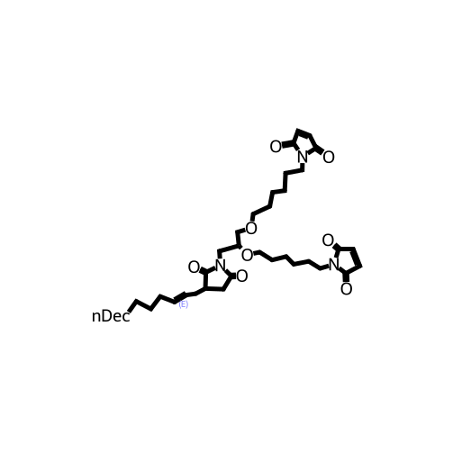 CCCCCCCCCCCCC/C=C/CC1CC(=O)N(CC(COCCCCCCN2C(=O)C=CC2=O)OCCCCCCN2C(=O)C=CC2=O)C1=O